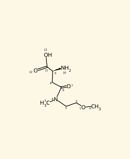 COCCN(C)C(=O)C[C@H](N)C(=O)O